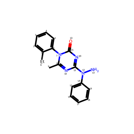 CCc1ccccc1-n1c(C)nc(N(N)c2ccccc2)nc1=O